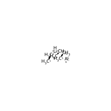 CC.CC.CC.[Al].[LiH]